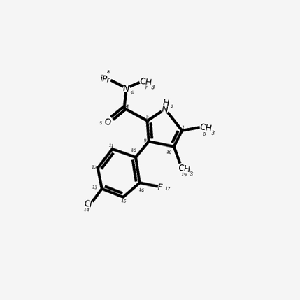 Cc1[nH]c(C(=O)N(C)C(C)C)c(-c2ccc(Cl)cc2F)c1C